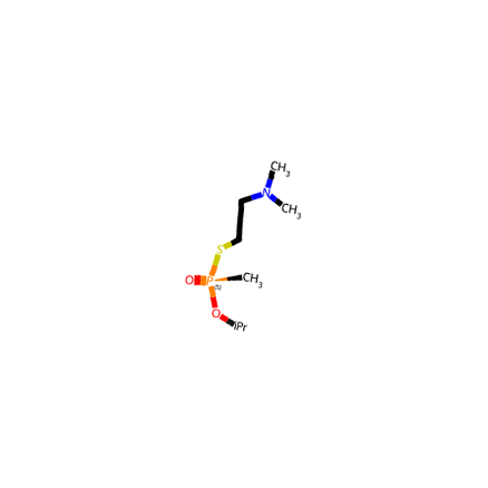 CC(C)O[P@](C)(=O)SCCN(C)C